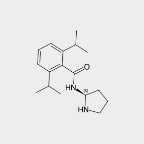 CC(C)c1cccc(C(C)C)c1C(=O)N[C@H]1CCCN1